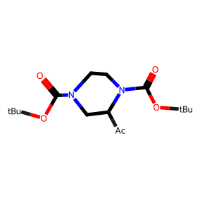 CC(=O)C1CN(C(=O)OC(C)(C)C)CCN1C(=O)OC(C)(C)C